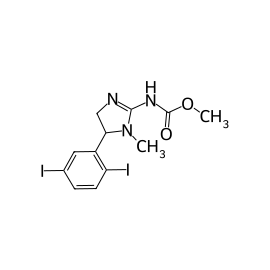 COC(=O)NC1=NCC(c2cc(I)ccc2I)N1C